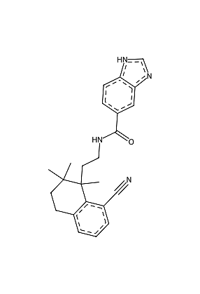 CC1(C)CCc2cccc(C#N)c2C1(C)CCNC(=O)c1ccc2[nH]cnc2c1